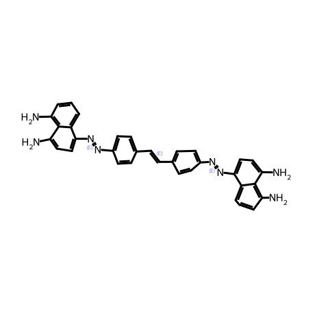 Nc1cccc2c(/N=N/c3ccc(/C=C/c4ccc(/N=N/c5ccc(N)c6c(N)cccc56)cc4)cc3)ccc(N)c12